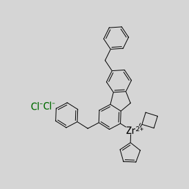 C1=CC[C]([Zr+2](=[C]2CCC2)[c]2cc(Cc3ccccc3)cc3c2Cc2ccc(Cc4ccccc4)cc2-3)=C1.[Cl-].[Cl-]